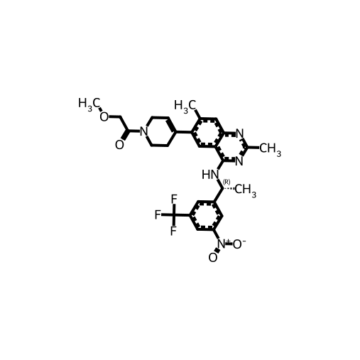 COCC(=O)N1CC=C(c2cc3c(N[C@H](C)c4cc([N+](=O)[O-])cc(C(F)(F)F)c4)nc(C)nc3cc2C)CC1